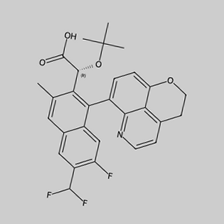 Cc1cc2cc(C(F)F)c(F)cc2c(-c2ccc3c4c(ccnc24)CCO3)c1[C@@H](OC(C)(C)C)C(=O)O